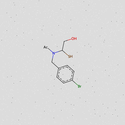 CC(=O)N(Cc1ccc(Br)cc1)C(S)CO